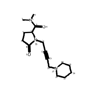 CN(C)C(=O)C1CCC(=O)N1CC#CCN1CCCCC1